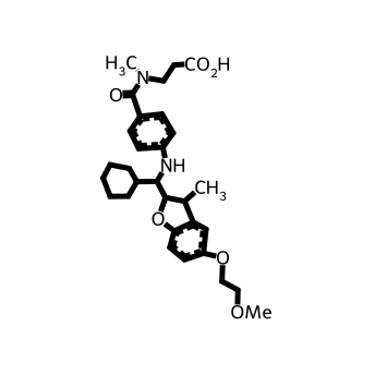 COCCOc1ccc2c(c1)C(C)C(C(Nc1ccc(C(=O)N(C)CCC(=O)O)cc1)C1CCCCC1)O2